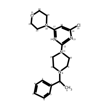 CC(c1ccccc1)N1CCN(c2nc(Cl)cc(N3CCOCC3)n2)CC1